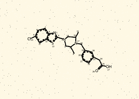 CC1CN(c2nc3ccc(Cl)cc3s2)CC(C)N1Cc1cccc(CC(=O)O)c1